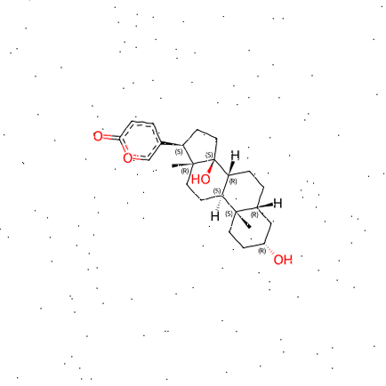 C[C@]12CC[C@@H](O)C[C@H]1CC[C@@H]1[C@@H]2CC[C@]2(C)[C@@H](c3ccc(=O)oc3)CC[C@]12O